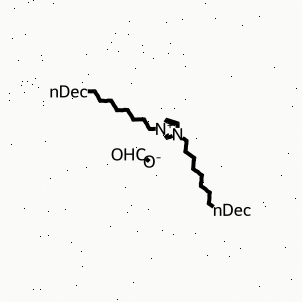 CCCCCCCCCCCCCCCCCCn1cc[n+](CCCCCCCCCCCCCCCCCC)c1.O=C[O-]